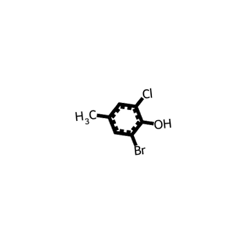 Cc1cc(Cl)c(O)c(Br)c1